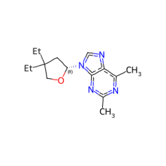 CCC1(CC)CO[C@@H](n2cnc3c(C)nc(C)nc32)C1